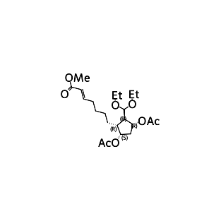 CCOC(OCC)[C@@H]1[C@@H](CCCCC=CC(=O)OC)[C@@H](OC(C)=O)C[C@H]1OC(C)=O